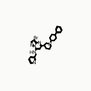 Brc1cnn2c(NCc3cccnc3)cc(C3CCCN(C4CCC(c5ccccc5)CC4)C3)nc12